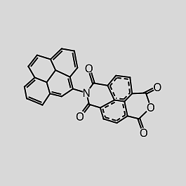 O=C1OC(=O)c2ccc3c4c(ccc1c24)C(=O)N(C1=C2C=CC=C4C=CC5=CC=CC(=C1)C5C42)C3=O